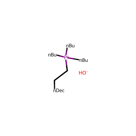 CCCCCCCCCCCC[P+](CCCC)(CCCC)CCCC.[OH-]